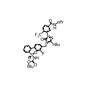 CCCCc1nn(-c2cc(C(=O)NCCC)ccc2C(F)(F)F)c(=O)n1Cc1ccc(-c2ccccc2S(=O)(=O)NC(=O)OC(C)(C)C)cc1F